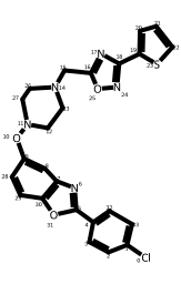 Clc1ccc(-c2nc3cc(ON4C[CH]N(Cc5nc(-c6cccs6)no5)CC4)ccc3o2)cc1